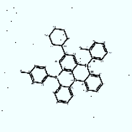 Cc1ccc(N2c3ccccc3B3c4ccccc4N(c4ccccc4C)c4cc(C5CCCCC5)cc2c43)cc1